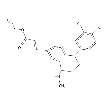 CCOC(=O)C=Cc1ccc2c(c1)[C@@H](NC)CC[C@H]2c1ccc(Cl)c(Cl)c1